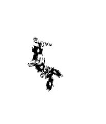 COC(=O)c1ccc(CNC(=O)c2ccc(S(=O)(=O)n3cc(-c4ccccc4)c4ccccc43)cc2)cc1